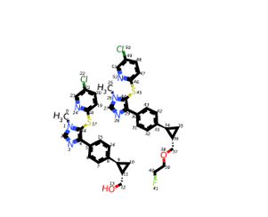 Cn1cnc(-c2ccc([C@H]3C[C@@H]3CO)cc2)c1Sc1ccc(Cl)cn1.Cn1cnc(-c2ccc([C@H]3C[C@@H]3COCCF)cc2)c1Sc1ccc(Cl)cn1